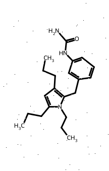 CCCc1cc(CCC)n(CCC)c1Cc1cccc(NC(N)=O)c1